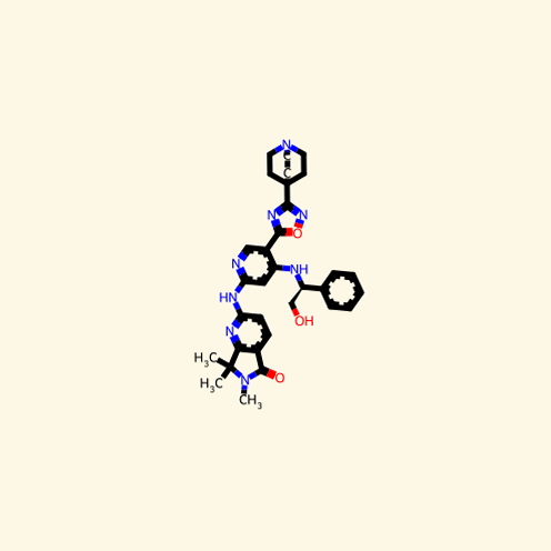 CN1C(=O)c2ccc(Nc3cc(N[C@H](CO)c4ccccc4)c(-c4nc(C56CCN(CC5)CC6)no4)cn3)nc2C1(C)C